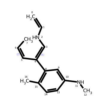 C=CN/C=C(\C=C/C)c1cc(NC)ccc1C